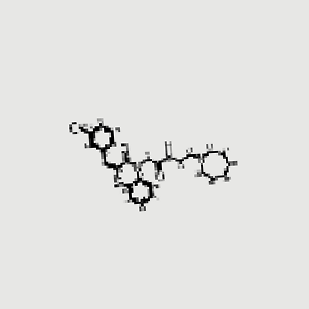 O=C(CN1C(=O)/C(=C\c2cccc(Cl)c2)Sc2ccccc21)NCCN1CCCCCC1